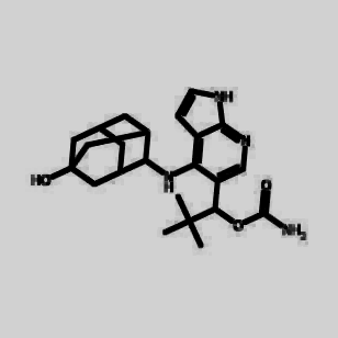 CC(C)(C)C(OC(N)=O)c1cnc2[nH]ccc2c1NC1C2CC3CC1CC(O)(C3)C2